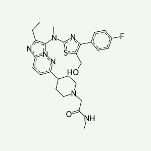 CCc1nc2ccc(C3CCN(CC(=O)NC)CC3)nn2c1N(C)c1nc(-c2ccc(F)cc2)c(CO)s1